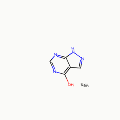 Oc1ncnc2[nH]ncc12.[NaH]